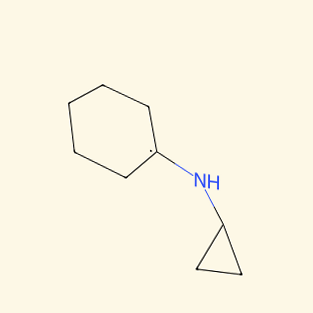 C1CC[C](NC2CC2)CC1